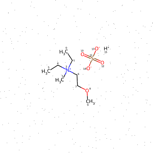 CC[N+](C)(CC)CCOC.O=S(=O)([O-])[O-].[H+]